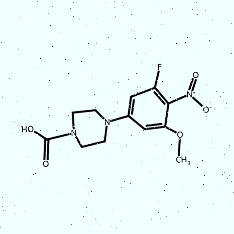 COc1cc(N2CCN(C(=O)O)CC2)cc(F)c1[N+](=O)[O-]